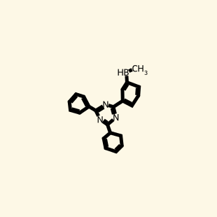 CBc1cccc(-c2nc(-c3ccccc3)nc(C3C=CC=CC3)n2)c1